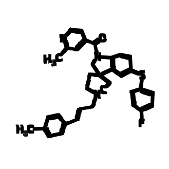 Cc1ccc(/C=C/CN2CCC3(CC2)CN(C(=O)c2ccnc(C)c2)c2ccc(Sc4ccc(F)cc4)cc23)cc1